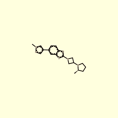 C[C@@H]1CCCN1C1CN(c2nc3ccc(-c4cnn(C)c4)cc3s2)C1